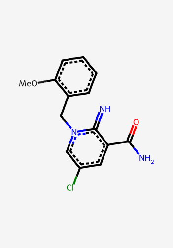 COc1ccccc1Cn1cc(Cl)cc(C(N)=O)c1=N